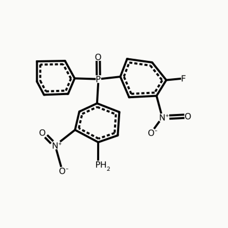 O=[N+]([O-])c1cc(P(=O)(c2ccccc2)c2ccc(P)c([N+](=O)[O-])c2)ccc1F